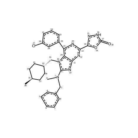 CN(Cc1ccccc1)c1nc2nc(-c3n[nH]c(=O)o3)nc(-c3cccc(Cl)c3)c2n1C[C@H]1CC[C@H](C)CC1